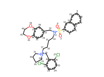 O=S(=O)(c1ccc2ccccc2c1)N(CCCC[N+]1(Cc2c(Cl)cccc2Cl)CCCC1)Cc1ccc2c(c1)OCCO2